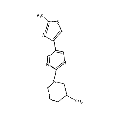 Cc1nc(-c2cnc(N3CCCC(C)C3)nc2)cs1